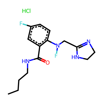 CCCCNC(=O)c1cc(F)ccc1N(F)CC1=NCCN1.Cl